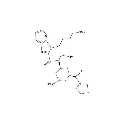 COCCCCn1c(C(=O)N(CC(C)C)[C@H]2C[C@@H](C(=O)N3CCCC3)CN(C(=O)O)C2)nc2ccccc21